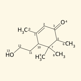 CC1=CC(=O)C(C)C(C)(C)C1CCO